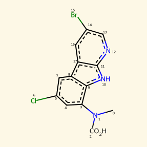 CN(C(=O)O)c1cc(Cl)cc2c1[nH]c1ncc(Br)cc12